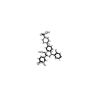 Cc1ccccc1[C@@H](CC(=NO)c1ccc(=O)n(C)c1)c1ccc(C2CCC(C(=O)O)CC2)cc1